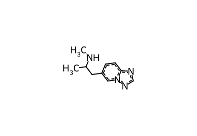 CNC(C)Cc1ccc2ncnn2c1